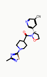 Cc1nsc(N2CCC(C(=O)N3OCC[C@H]3c3cncc(C#N)c3)CC2)n1